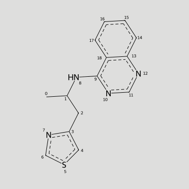 CC(Cc1cscn1)Nc1ncnc2ccccc12